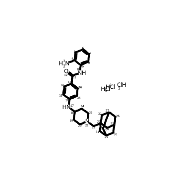 Cl.Cl.Cl.Nc1ccccc1NC(=O)c1ccc(NC2CCN(CC34CC5CC(CC(C5)C3)C4)CC2)cc1